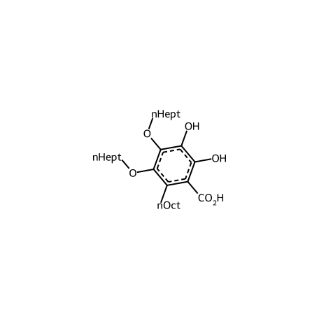 CCCCCCCCc1c(OCCCCCCC)c(OCCCCCCC)c(O)c(O)c1C(=O)O